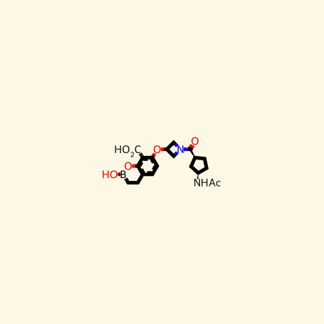 CC(=O)N[C@H]1CC[C@H](C(=O)N2CC(Oc3ccc4c(c3C(=O)O)OB(O)CC4)C2)C1